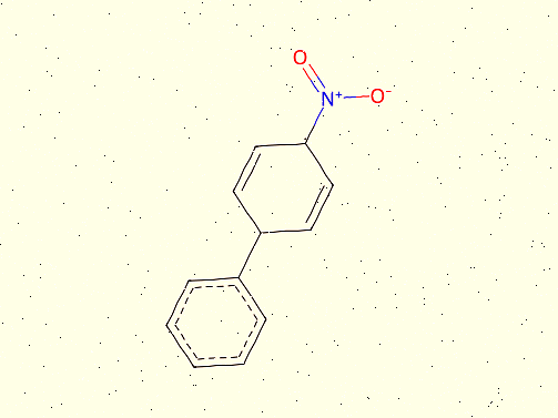 O=[N+]([O-])[C]1C=CC(c2ccccc2)C=C1